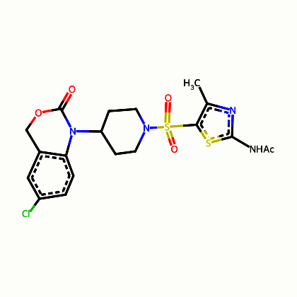 CC(=O)Nc1nc(C)c(S(=O)(=O)N2CCC(N3C(=O)OCc4cc(Cl)ccc43)CC2)s1